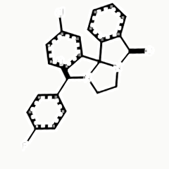 O=C(c1ccc(F)cc1)N1CCN2C(=O)c3ccccc3C12c1cccc(Cl)c1